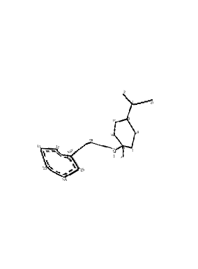 CC(C)C1CCC(C)(OCc2ccccc2)CC1